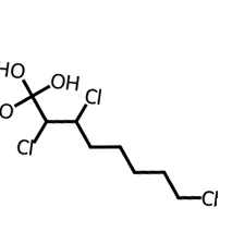 OC(O)(O)C(Cl)C(Cl)CCCCCCl